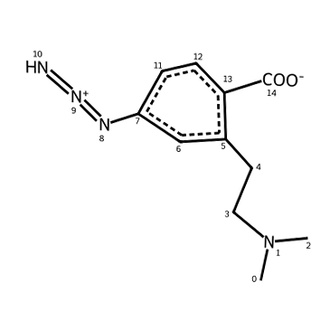 CN(C)CCc1cc(N=[N+]=N)ccc1C(=O)[O-]